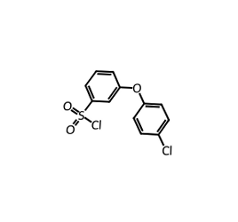 O=S(=O)(Cl)c1cccc(Oc2ccc(Cl)cc2)c1